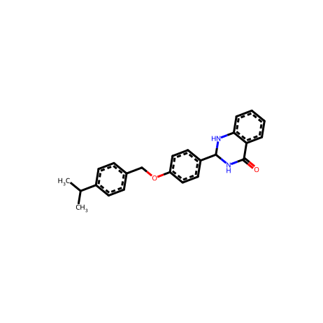 CC(C)c1ccc(COc2ccc(C3NC(=O)c4ccccc4N3)cc2)cc1